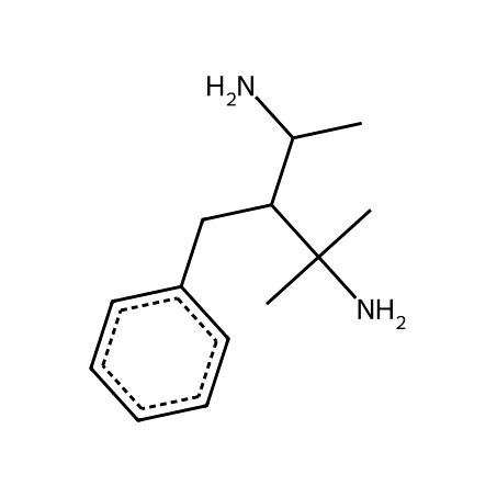 CC(N)C(Cc1ccccc1)C(C)(C)N